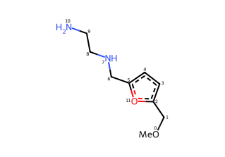 COCc1ccc(CNCCN)o1